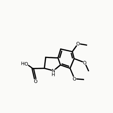 COc1cc2c(c(OC)c1OC)NC(C(=O)O)C2